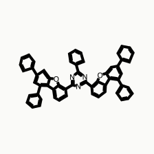 c1ccc(-c2cc(-c3ccccc3)c3c(c2)oc2c(-c4nc(-c5ccccc5)nc(-c5cccc6c5oc5cc(-c7ccccc7)cc(-c7ccccc7)c56)n4)cccc23)cc1